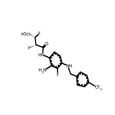 CCCCCCCC[C@H](F)[C@@H](F)C(=O)Nc1ccc(NCc2ccc(C(F)(F)F)cc2)c(F)c1N